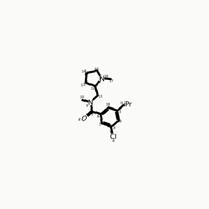 CC(C)c1cc(Cl)cc(C(=O)N(C)CC2CCCN2C)c1